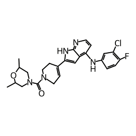 CC1CN(C(=O)N2CC=C(c3cc4c(Nc5ccc(F)c(Cl)c5)ccnc4[nH]3)CC2)CC(C)O1